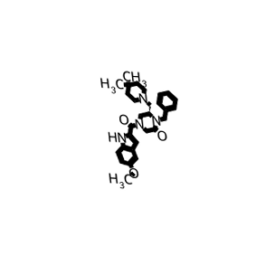 COc1ccc2[nH]c(C(=O)N3CC(=O)N(Cc4ccccc4)[C@@H](CN4CCC(C)(C)CC4)C3)cc2c1